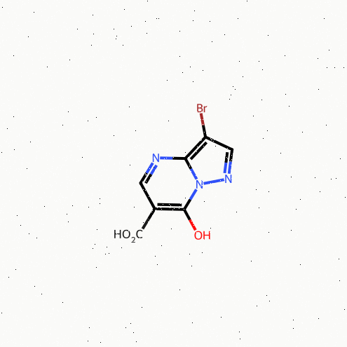 O=C(O)c1cnc2c(Br)cnn2c1O